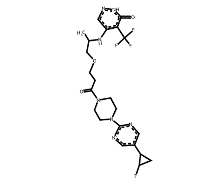 CC(COCCC(=O)N1CCN(c2ncc(C3CC3F)cn2)CC1)Nc1cn[nH]c(=O)c1C(F)(F)F